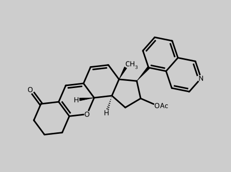 CC(=O)OC1C[C@H]2[C@@H]3OC4=C(C=C3C=C[C@]2(C)[C@H]1c1cccc2cnccc12)C(=O)CCC4